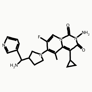 Cc1c(N2CCC(C(N)c3cccnc3)C2)c(F)cn2c(=O)n(N)c(=O)c(C3CC3)c12